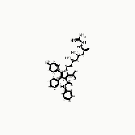 C=C(C[C@H](O)C[C@H](O)CCn1c(-c2ccc(F)cc2)c(-c2ccccc2)c(C(=C)Nc2ccccc2)c1C(C)C)NNC(=N)N